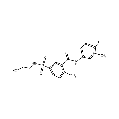 Cc1cc(NC(=O)c2cc(S(=O)(=O)NCCO)ccc2C)ccc1F